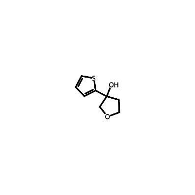 OC1(c2cccs2)CCOC1